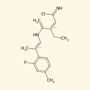 C=C(N/C=C(\C)c1ccc(C)cc1F)/C(=C\C(=N)Cl)CC